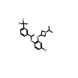 CC(Oc1ccc(Cl)cc1OC1CN(C(C)C)C1)c1cccc(C(F)(F)F)c1